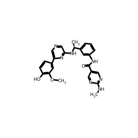 CNc1ncc(C(=O)Nc2cccc([C@H](C)Nc3cncc(-c4ccc(O)c(OC)c4)n3)c2)cn1